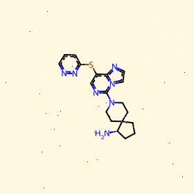 N[C@@H]1CCCC12CCN(c1ncc(Sc3cccnn3)c3nccn13)CC2